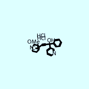 CO[C@]1(C#C[C@](O)(c2ccccc2)c2cccnc2)CN2CCC1CC2.Cl.Cl